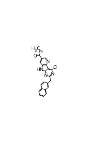 COC(=O)c1cnc2c(c1)[nH]c1nc(Cc3ccc4ccccc4c3)nc(Cl)c12